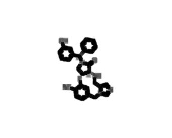 N#Cc1ccc(Cn2cncc2CN[C@@H]2CCN([C@H](c3ccccc3)c3cccc(O)c3)C2=O)cc1F